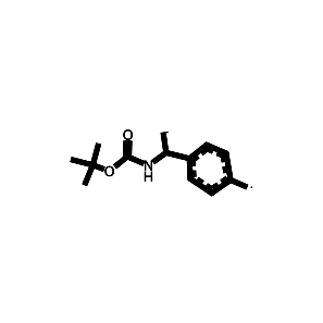 [CH2]c1ccc(C([CH2])NC(=O)OC(C)(C)C)cc1